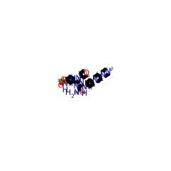 CN1CCN(C2CCN(c3ccc(Nc4nc(NC5CCOCC5)c(-c5cccc(NS(C)(=O)=O)c5)nc4C(N)=O)cc3)CC2)CC1